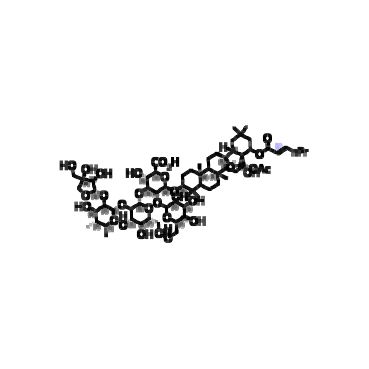 CCC/C=C/C(=O)OC1CC(C)(C)C[C@@H]2C13[C@H](O)O[C@@]21CCC2[C@@]4(C)CC[C@H](O[C@@H]5O[C@H](C(=O)O)[C@@H](O)[C@H](O[C@@H]6O[C@H](CO)[C@H](O)[C@H](O)C6O[C@@H]6O[C@@H](C)[C@H](C)[C@@H](O)[C@H]6O[C@@H]6OC[C@](O)(CO)[C@H]6O)[C@H]5OC5O[C@H](CO)[C@H](O)[C@H](O)[C@H]5O)C(C)(C)C4CC[C@@]2(C)[C@]1(C)C[C@H]3OC(C)=O